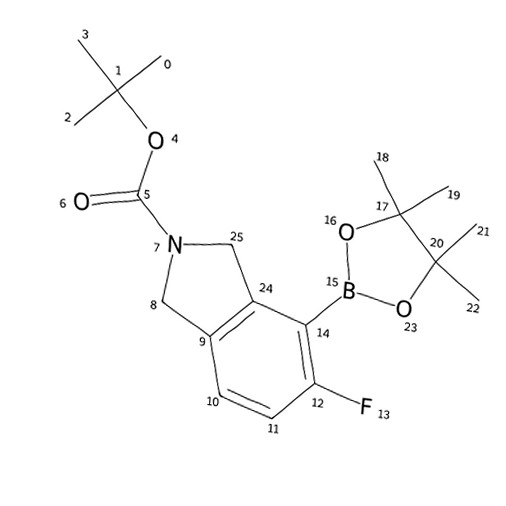 CC(C)(C)OC(=O)N1Cc2ccc(F)c(B3OC(C)(C)C(C)(C)O3)c2C1